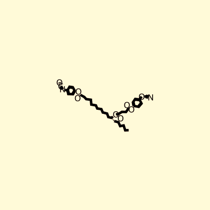 CCCCCC[C@H](CCCCCCCCCCC(=O)Oc1ccc(N=C=O)cc1)OC(=O)CCC(=O)Oc1ccc(OC#N)cc1